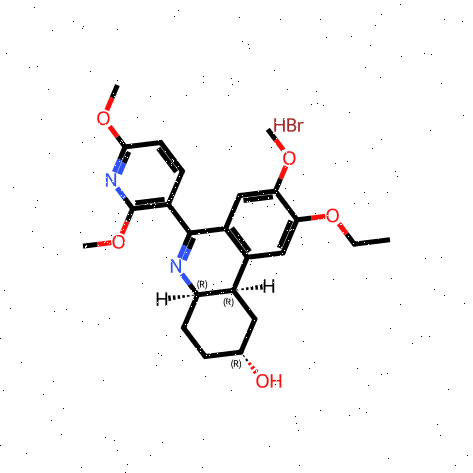 Br.CCOc1cc2c(cc1OC)C(c1ccc(OC)nc1OC)=N[C@@H]1CC[C@@H](O)C[C@H]21